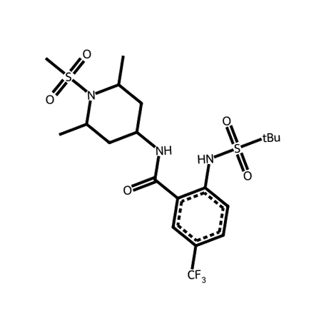 CC1CC(NC(=O)c2cc(C(F)(F)F)ccc2NS(=O)(=O)C(C)(C)C)CC(C)N1S(C)(=O)=O